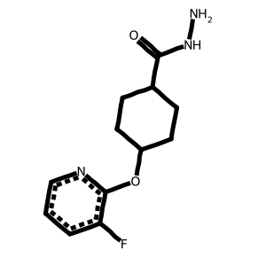 NNC(=O)C1CCC(Oc2ncccc2F)CC1